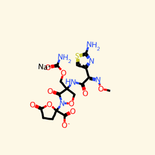 CO/N=C(\C(=O)NC1(COC(N)=O)CON(C2(C(=O)[O-])CCC(=O)O2)C1=O)c1csc(N)n1.[Na+]